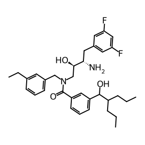 CCCC(CCC)C(O)c1cccc(C(=O)N(Cc2cccc(CC)c2)C[C@@H](O)[C@@H](N)Cc2cc(F)cc(F)c2)c1